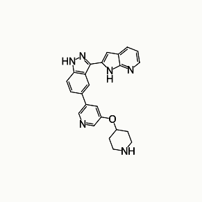 c1cnc2[nH]c(-c3n[nH]c4ccc(-c5cncc(OC6CCNCC6)c5)cc34)cc2c1